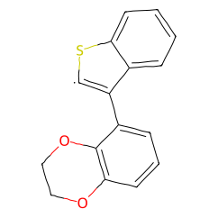 [c]1sc2ccccc2c1-c1cccc2c1OCCO2